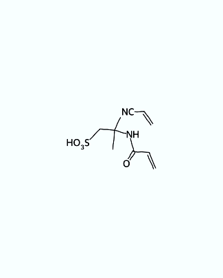 C=CC#N.C=CC(=O)NC(C)(C)CS(=O)(=O)O